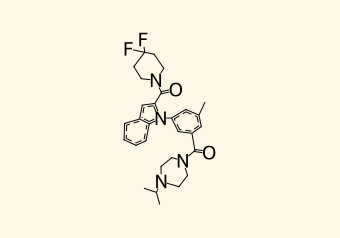 Cc1cc(C(=O)N2CCN(C(C)C)CC2)cc(-n2c(C(=O)N3CCC(F)(F)CC3)cc3ccccc32)c1